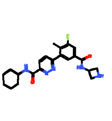 Cc1c(F)cc(C(=O)NC2CNC2)cc1-c1ccc(C(=O)NC2CCCCC2)nn1